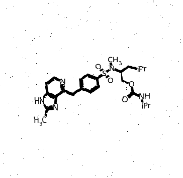 Cc1nc2c(Cc3ccc(S(=O)(=O)N(C)[C@H](COC(=O)NC(C)C)CC(C)C)cc3)nccc2[nH]1